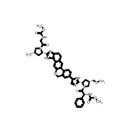 COC[C@H]1C[C@@H](c2ncc(-c3ccc4c(c3)COc3cc5c(ccc6nc([C@@H]7C[C@H](C)CN7C(=O)CNC(=O)OC)[nH]c65)cc3-4)[nH]2)N(C(=O)[C@H](NC(=O)OC)c2ccccc2)C1